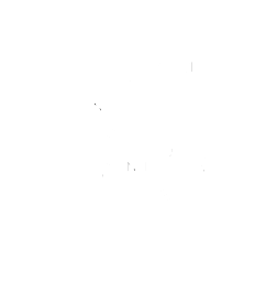 COC(=O)c1ccccc1NC(=O)c1cn(Cc2ccc(Cl)cc2)c2ccccc12